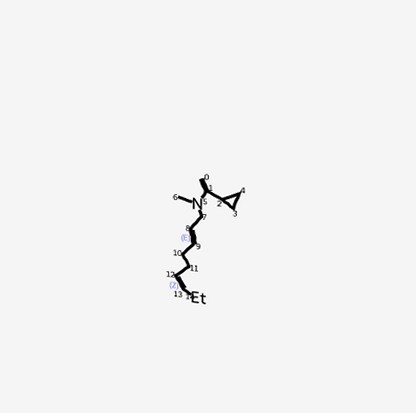 C=C(C1CC1)N(C)C/C=C/CC/C=C\CC